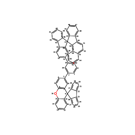 c1cc(-c2ccc3c(c2)C2(c4ccccc4O3)c3ccccc3-c3ccccc32)cc(-c2ccc3c(c2)C2(c4ccccc4-3)c3ccccc3-c3ccc4ccccc4c32)c1